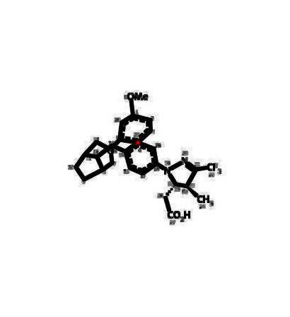 COc1cccc(N2CC3CCC(C2)C3Cc2ccc(N3N=C(C(F)(F)F)[C@@H](C)[C@@H]3CC(=O)O)cc2)c1